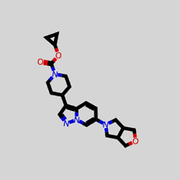 O=C(OC1CC1)N1CCC(c2cnn3cc(N4CC5COCC5C4)ccc23)CC1